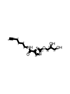 C#CCCCCNC(=O)c1cnc(OCC(O)CO)s1